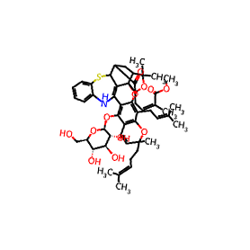 COC(=O)/C(C)=C\CC12OC(C)(C)C3CC(C1=O)C1Sc4ccccc4NC4=C1C32Oc1c(CC=C(C)C)c2c(c(O[C@@H]3O[C@H](CO)[C@@H](O)[C@H](O)[C@H]3O)c14)C=CC(C)(CCC=C(C)C)O2